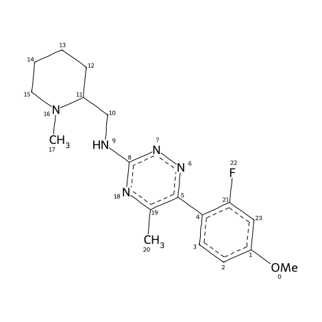 COc1ccc(-c2nnc(NCC3CCCCN3C)nc2C)c(F)c1